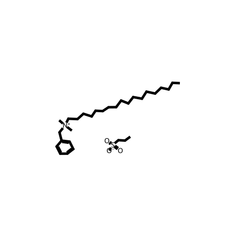 CCCCCCCCCCCCCCCCCC[N+](C)(C)Cc1ccccc1.CCCS(=O)(=O)[O-]